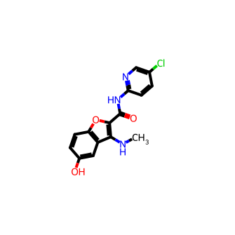 CNc1c(C(=O)Nc2ccc(Cl)cn2)oc2ccc(O)cc12